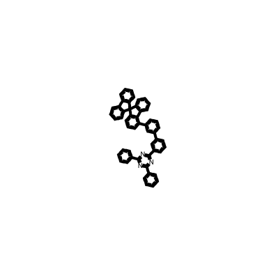 c1ccc(-c2nc(-c3ccccc3)nc(-c3cccc(-c4cccc(-c5cccc6c5-c5ccccc5C65c6ccccc6-c6ccccc65)c4)c3)n2)cc1